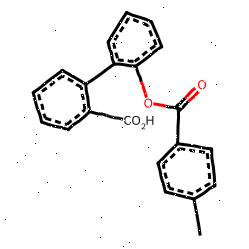 Cc1ccc(C(=O)Oc2ccccc2-c2ccccc2C(=O)O)cc1